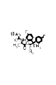 C[C@H](NC(=O)OC(C)(C)C)C(=O)O[C@@H](C)C(C)(c1ccc(F)cc1)c1ccc(F)cc1